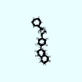 [c]1ccccc1-c1nnc(-c2ccc(-c3ccc4ccccc4c3)cc2)o1